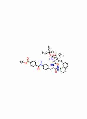 COC(=O)c1ccc(C(=O)Nc2ccc(CC(NC(=O)[C@@H](NC(=O)OC(C)(C)C)C(C)(C)SC)C(=O)NC3CCCc4ccccc43)cc2)cc1